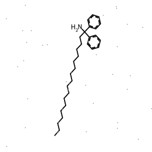 CCCCCCCCCCCCCCCCCC(N)(c1ccccc1)c1ccccc1